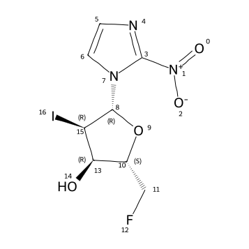 O=[N+]([O-])c1nccn1[C@@H]1O[C@H](CF)[C@@H](O)[C@H]1I